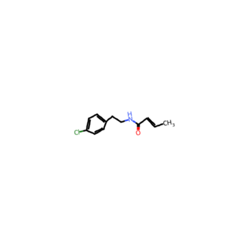 C/C=C/C(=O)NCCc1ccc(Cl)cc1